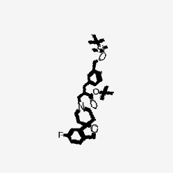 CC(C)(C)OC(=O)C(Cc1cccc(CO[Si](C)(C)C(C)(C)C)c1)CN1CCC2(CC1)OCc1ccc(F)cc12